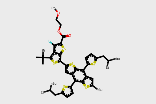 CCCCC(CC)Cc1ccc(-c2c3cc(C(C)(C)C)sc3c(-c3ccc(CC(CC)CCCC)s3)c3cc(-c4sc(C(C)(C)CC)c5c(F)c(C(=O)OCCOCC)sc45)sc23)s1